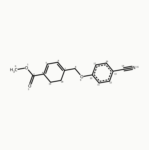 COC(=O)C1=CC=C(COc2ccc(C#N)cc2)CC1